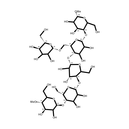 CO[C@@H]1OC(CO)[C@@H](O[C@H]2O[C@@H](CO[C@H]3O[C@@H](CO)[C@H](O)C(O)C3O)[C@@H](O[C@@H]3OC(CO)[C@@H](O[C@H]4O[C@@H](CO)[C@@H](O[C@@H]5OC(CO)[C@@H](OC)[C@H](O)C5O)C(O)C4O)[C@H](O)C3O)C(O)C2O)[C@@H](O)C1O